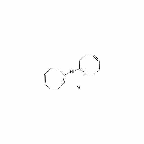 C1=CCC[C]([Ni][C]2=CCCC=CCC2)=CCC1.[Ni]